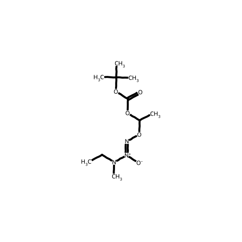 CCN(C)/[N+]([O-])=N/OC(C)OC(=O)OC(C)(C)C